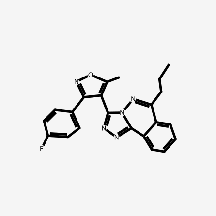 CCCc1nn2c(-c3c(-c4ccc(F)cc4)noc3C)nnc2c2ccccc12